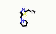 CC(C)Cc1ncc(CN2CCCCC2)s1